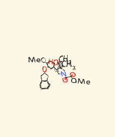 COC(=O)C(=O)N1C[C@@H](c2ccc(OC)c(OC3Cc4ccccc4C3)c2)[C@](C)([C@@H](C)O)C1